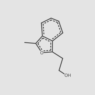 Cc1oc(CCO)c2ccccc12